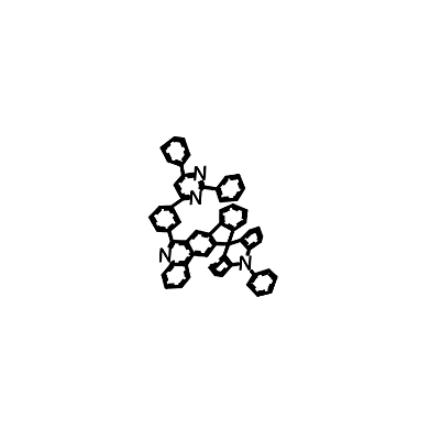 c1ccc(-c2cc(-c3cccc(-c4nc5ccccc5c5cc6c(cc45)-c4ccccc4C64c5ccccc5N(c5ccccc5)c5ccccc54)c3)nc(-c3ccccc3)n2)cc1